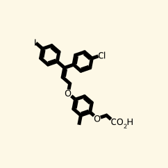 Cc1cc(OC/C=C(\c2ccc(Cl)cc2)c2ccc(I)cc2)ccc1OCC(=O)O